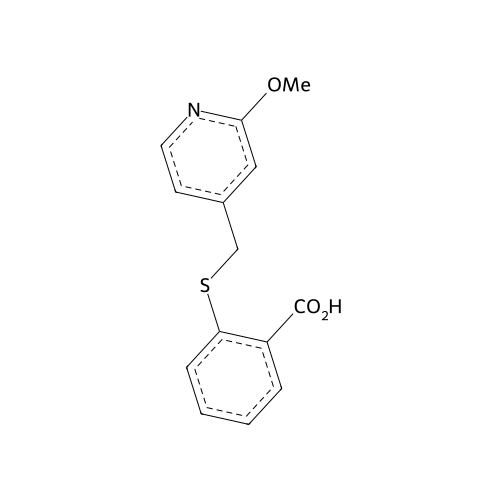 COc1cc(CSc2ccccc2C(=O)O)ccn1